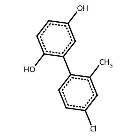 Cc1cc(Cl)ccc1-c1cc(O)ccc1O